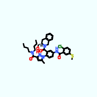 CCCCN(CCCC)C(=O)c1cc(C)n(-c2ccc(NC(=O)c3cc(SC)ccc3Cl)cc2C(=O)N2Cc3ccccc3C[C@H]2CO)n1